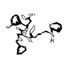 O=C(O)CC(NC(=O)C(COCc1ccccc1)NC(=O)CCCCNc1ccccn1)c1cccc(Br)c1